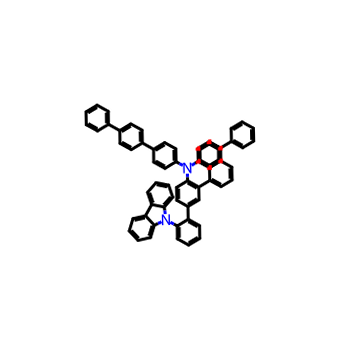 c1ccc(-c2ccc(-c3ccc(N(c4ccc(-c5ccccc5)cc4)c4ccc(-c5ccccc5-n5c6ccccc6c6ccccc65)cc4-c4cccc5ccccc45)cc3)cc2)cc1